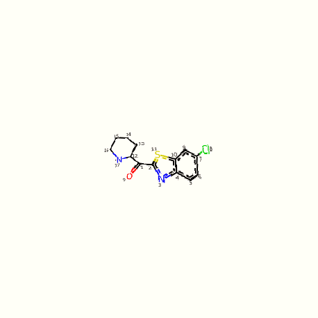 O=C(c1nc2ccc(Cl)cc2s1)C1CCCC[N]1